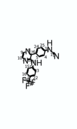 N#CNc1ccc(-c2nccnc2Nc2ccc(C(F)(F)F)cc2)cc1